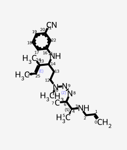 C=CCN[C@@H](C)C(C)/N=N\N(C)CCC(Nc1cccc(C#N)c1)/C(C)=C/C